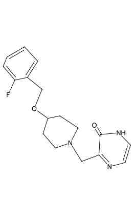 O=c1[nH]ccnc1CN1CCC(OCc2ccccc2F)CC1